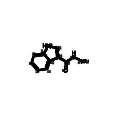 CC(C)(C)NC(=O)c1n[nH]c2ccccc12